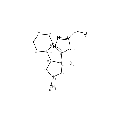 CCOc1nnc([N+]2([O-])CN(C)CC2N2CCOCC2)s1